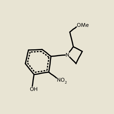 COCC1CCN1c1cccc(O)c1[N+](=O)[O-]